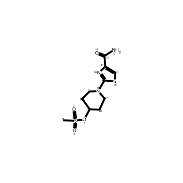 CS(=O)(=O)OC1CCN(c2nc(C(N)=O)cs2)CC1